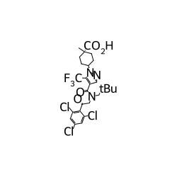 CC(C)(C)CN(CC(=O)c1c(Cl)cc(Cl)cc1Cl)C(=O)c1cnn([C@H]2CC[C@](C)(C(=O)O)CC2)c1C(F)(F)F